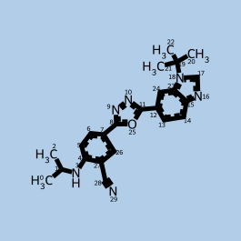 CC(C)Nc1ccc(-c2nnc(-c3ccc4ncn(C(C)(C)C)c4c3)o2)cc1C#N